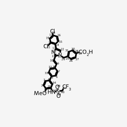 COc1ccc(-c2ccc(/C=C/c3nc(-c4ccc(Cl)cc4Cl)cn3Cc3ccc(C(=O)O)cc3)cc2)cc1NS(=O)(=O)CC(F)(F)F